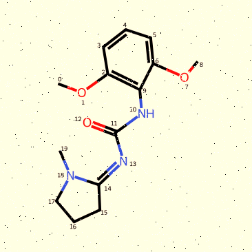 COc1cccc(OC)c1NC(=O)/N=C1/CCCN1C